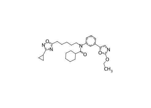 CCOc1ncc(-c2cccc(N(CCCCCc3nc(C4CC4)no3)C(=O)C3CCCCC3)c2)o1